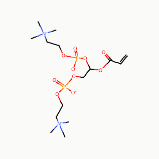 C=CC(=O)OC(COP(=O)([O-])OCC[N+](C)(C)C)OP(=O)([O-])OCC[N+](C)(C)C